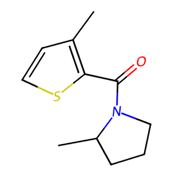 Cc1ccsc1C(=O)N1CCCC1C